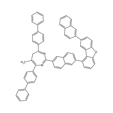 CC1=C(c2ccc(-c3ccccc3)cc2)N=C(c2ccc3cc(-c4cccc5oc6ccc(-c7ccc8ccccc8c7)cc6c45)ccc3c2)N=C(c2ccc(-c3ccccc3)cc2)C1